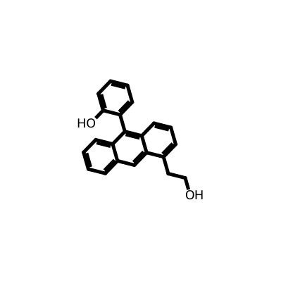 OCCc1cccc2c(-c3ccccc3O)c3ccccc3cc12